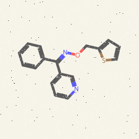 c1ccc(C(=NOCc2cccs2)c2cccnc2)cc1